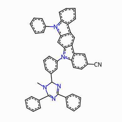 CN1C(c2ccccc2)=NC(c2ccccc2)=NC1c1cccc(-n2c3ccc(C#N)cc3c3cc4c5ccccc5n(-c5ccccc5)c4cc32)c1